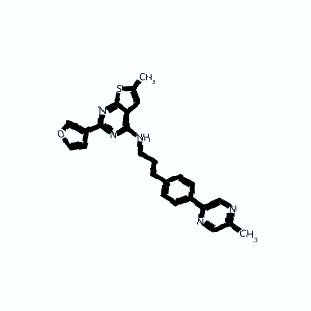 Cc1cnc(-c2ccc(CCCNc3nc(-c4ccoc4)nc4sc(C)cc34)cc2)cn1